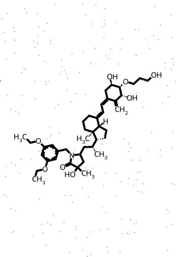 C=C1/C(=C\C=C2/CCC[C@]3(C)[C@@H]([C@H](C)CC4CC(C)(O)C(=O)N4Cc4cc(OCC)cc(OCC)c4)CC[C@@H]23)C[C@@H](O)[C@H](OCCCO)[C@@H]1O